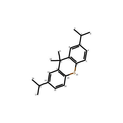 CC(C)c1ccc2c(c1)C(C)(C)c1cc(C(C)C)ccc1S2